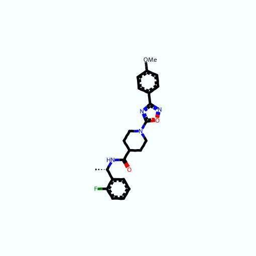 COc1ccc(-c2noc(N3CCC(C(=O)N[C@@H](C)c4ccccc4F)CC3)n2)cc1